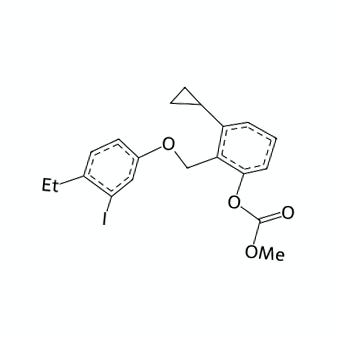 CCc1ccc(OCc2c(OC(=O)OC)cccc2C2CC2)cc1I